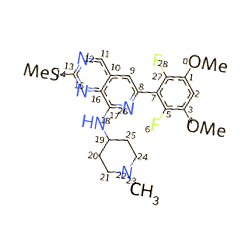 COc1cc(OC)c(F)c(-c2cc3cnc(SC)nc3c(NC3CCN(C)CC3)n2)c1F